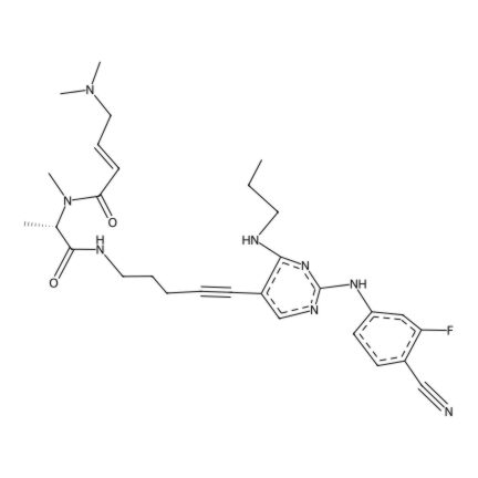 CCCNc1nc(Nc2ccc(C#N)c(F)c2)ncc1C#CCCCNC(=O)[C@H](C)N(C)C(=O)/C=C/CN(C)C